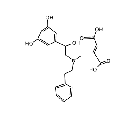 CN(CCc1ccccc1)CC(O)c1cc(O)cc(O)c1.O=C(O)/C=C/C(=O)O